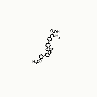 COc1cccc(-c2cccc(C(Oc3cnc(-c4ccc(C[C@H](N)C(=O)O)cc4)cn3)C(F)(F)F)c2)c1